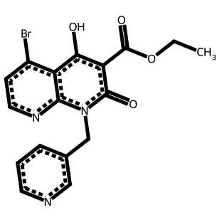 CCOC(=O)c1c(O)c2c(Br)ccnc2n(Cc2cccnc2)c1=O